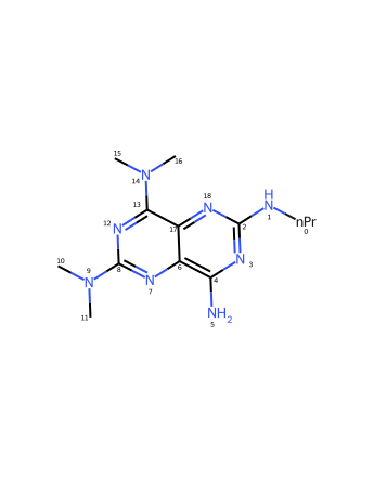 CCCNc1nc(N)c2nc(N(C)C)nc(N(C)C)c2n1